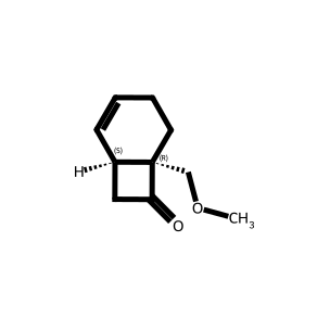 COC[C@@]12CCC=C[C@@H]1CC2=O